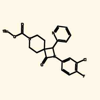 CC(C)(C)OC(=O)N1CCC2(CC1)C(=O)N(c1ccc(F)c(Cl)c1)C2c1ccccn1